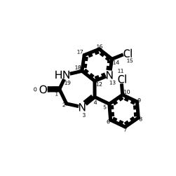 O=C1CN=C(c2ccccc2Cl)c2nc(Cl)ccc2N1